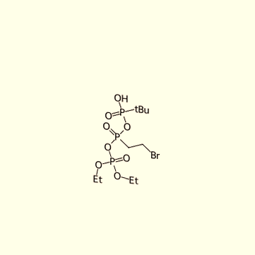 CCOP(=O)(OCC)OP(=O)(CCBr)OP(=O)(O)C(C)(C)C